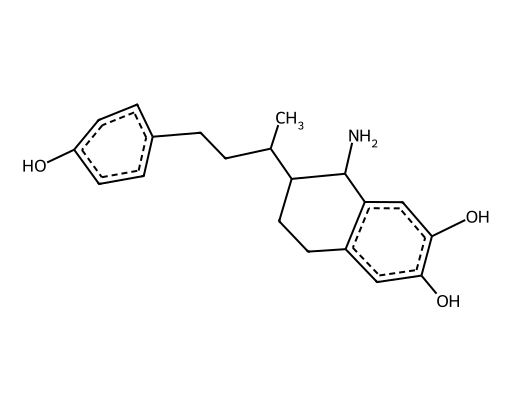 CC(CCc1ccc(O)cc1)C1CCc2cc(O)c(O)cc2C1N